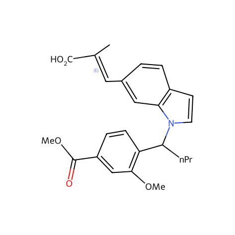 CCCC(c1ccc(C(=O)OC)cc1OC)n1ccc2ccc(/C=C(\C)C(=O)O)cc21